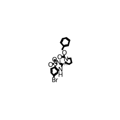 O=C(OCc1ccccc1)N1CCC[C@@H]1C1=NS(=O)(=O)c2ccc(Br)cc2N1